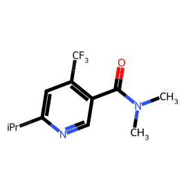 CC(C)c1cc(C(F)(F)F)c(C(=O)N(C)C)cn1